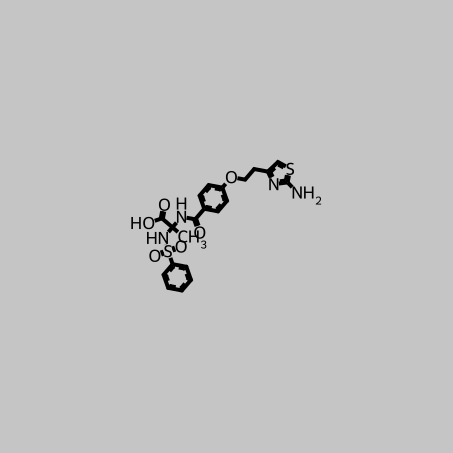 CC(NC(=O)c1ccc(OCCc2csc(N)n2)cc1)(NS(=O)(=O)c1ccccc1)C(=O)O